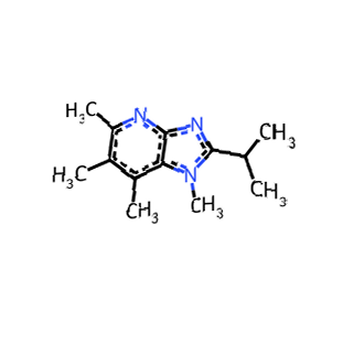 Cc1nc2nc(C(C)C)n(C)c2c(C)c1C